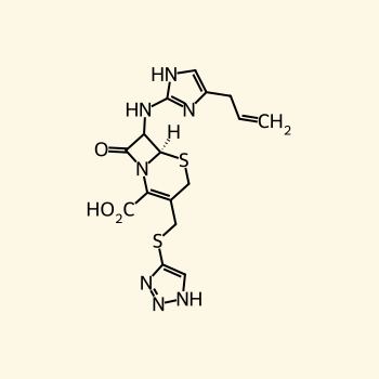 C=CCc1c[nH]c(NC2C(=O)N3C(C(=O)O)=C(CSc4c[nH]nn4)CS[C@H]23)n1